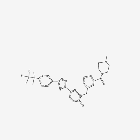 CN1CCN(C(=O)c2cccc(Cn3nc(-c4nc(-c5ccc(C(C)(C)C(F)(F)F)cc5)no4)ccc3=O)c2)CC1